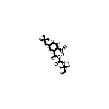 CCC(C)(C)NC(=O)OC(C)c1cc(CC(C)(C)C)ccc1[N+](=O)[O-]